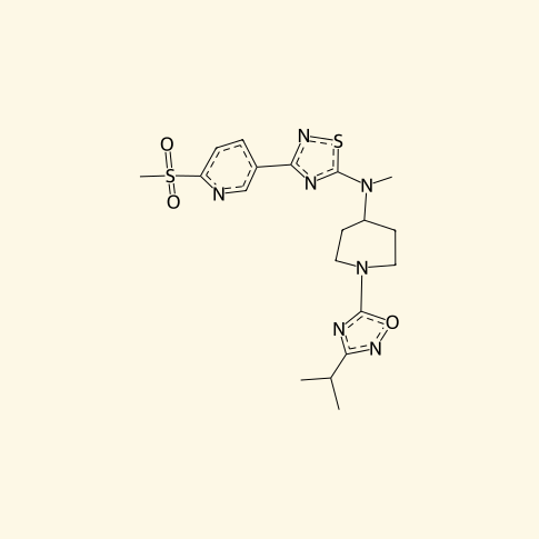 CC(C)c1noc(N2CCC(N(C)c3nc(-c4ccc(S(C)(=O)=O)nc4)ns3)CC2)n1